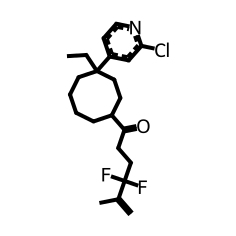 C=C(C)C(F)(F)CCC(=O)C1CCCCC(CC)(c2ccnc(Cl)c2)CC1